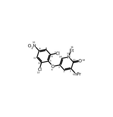 CCCc1cc(Oc2c(Cl)cc([N+](=O)[O-])cc2Cl)cn(CC)c1=O